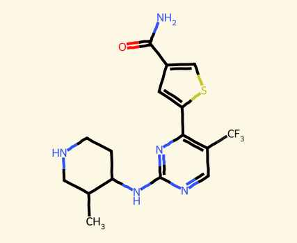 CC1CNCCC1Nc1ncc(C(F)(F)F)c(-c2cc(C(N)=O)cs2)n1